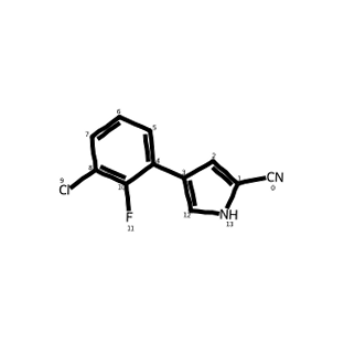 N#Cc1cc(-c2cccc(Cl)c2F)c[nH]1